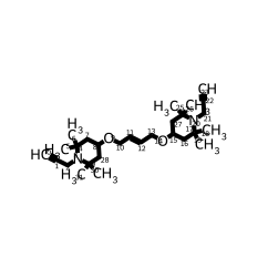 C#CCN1C(C)(C)CC(OCC=CCOC2CC(C)(C)N(CC#C)C(C)(C)C2)CC1(C)C